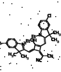 CCN1/C(=C\C2=C(O)C(=C\C3=[N+](CC)c4ccc(Cl)cc4C3(C)C)/C2=C(C#N)C#N)C(C)(C)c2cc(Cl)ccc21